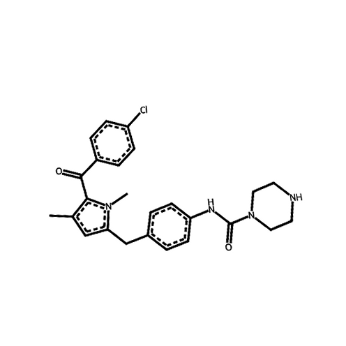 Cc1cc(Cc2ccc(NC(=O)N3CCNCC3)cc2)n(C)c1C(=O)c1ccc(Cl)cc1